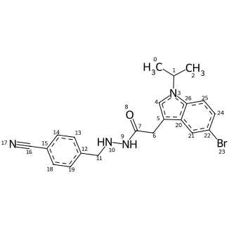 CC(C)n1cc(CC(=O)NNCc2ccc(C#N)cc2)c2cc(Br)ccc21